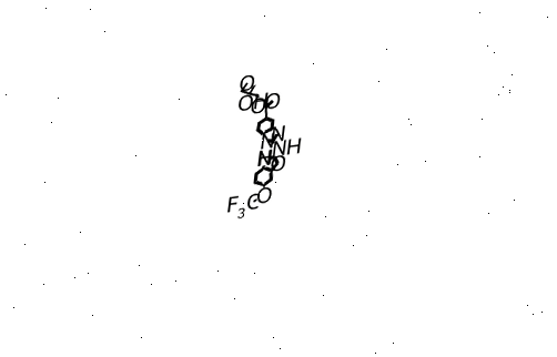 O=C(OCC1(O)COC1)c1ccc2[nH]c(Nc3nc4ccc(OC(F)(F)F)cc4o3)nc2c1